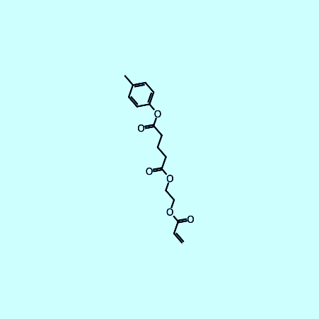 C=CC(=O)OCCOC(=O)CCCC(=O)Oc1ccc(C)cc1